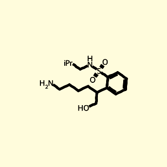 CC(C)CNS(=O)(=O)c1ccccc1C(CO)CCCCN